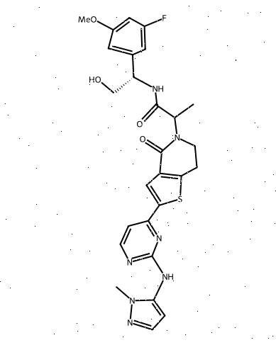 COc1cc(F)cc([C@@H](CO)NC(=O)C(C)N2CCc3sc(-c4ccnc(Nc5ccnn5C)n4)cc3C2=O)c1